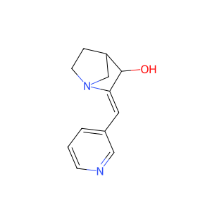 OC1C(=Cc2cccnc2)N2CCC1C2